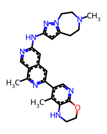 Cc1c(-c2cc3cc(Nc4cc5n(n4)CCN(C)CC5)ncc3c(C)n2)cnc2c1NCCO2